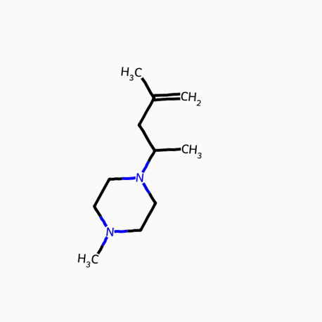 C=C(C)CC(C)N1CCN(C)CC1